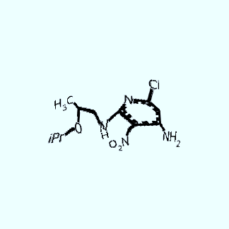 CC(C)OC(C)CNc1nc(Cl)cc(N)c1[N+](=O)[O-]